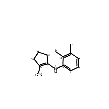 Cc1cccc(NC2=C(C#N)CCC2)c1C